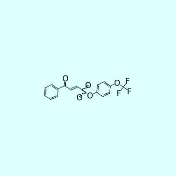 O=C(/C=C/S(=O)(=O)Oc1ccc(OC(F)(F)F)cc1)c1ccccc1